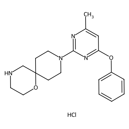 Cc1cc(Oc2ccccc2)nc(N2CCC3(CC2)CNCCO3)n1.Cl